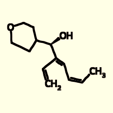 C=C/C(=C\C=C/C)[C@H](O)C1CCOCC1